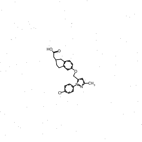 Cc1cc(COc2ccc3c(c2)CCC(CC(=O)O)C3)n(-c2ccc(Cl)cc2)n1